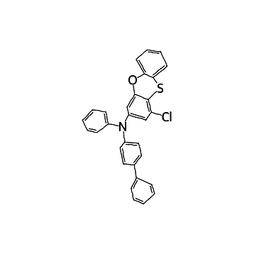 Clc1cc(N(c2ccccc2)c2ccc(-c3ccccc3)cc2)cc2c1Sc1ccccc1O2